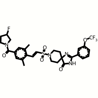 Cc1cc(C(=O)N2CCC(F)C2)cc(C)c1C=CS(=O)(=O)N1CCC2(CC1)N=C(c1cccc(OC(F)(F)F)c1)NC2=O